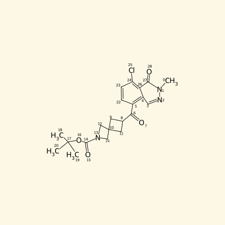 Cn1ncc2c(C(=O)C3CC4(C3)CN(C(=O)OC(C)(C)C)C4)ccc(Cl)c2c1=O